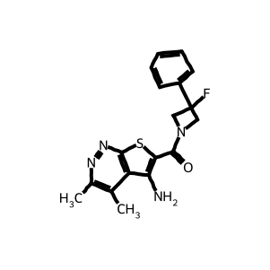 Cc1nnc2sc(C(=O)N3CC(F)(c4ccccc4)C3)c(N)c2c1C